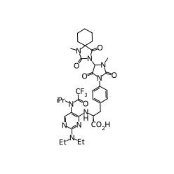 CCN(CC)c1ncc(N(C(=O)C(F)(F)F)C(C)C)c(N[C@@H](Cc2ccc(N3C(=O)C(N4C(=O)N(C)C5(CCCCC5)C4=O)N(C)C3=O)cc2)C(=O)O)n1